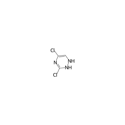 ClC1=CNNC(Cl)=N1